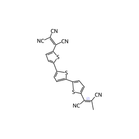 C/C(C#N)=C(\C#N)c1ccc(-c2ccc(-c3ccc(C(C#N)=C(C#N)C#N)s3)s2)s1